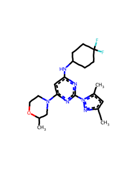 Cc1cc(C)n(-c2nc(NC3CCC(F)(F)CC3)cc(N3CCOC(C)C3)n2)n1